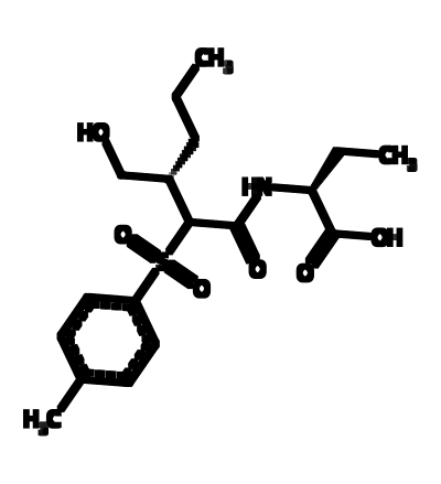 CCC[C@@H](CO)C(C(=O)N[C@@H](CC)C(=O)O)S(=O)(=O)c1ccc(C)cc1